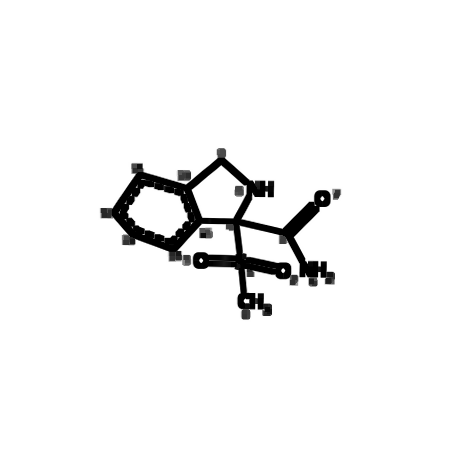 CS(=O)(=O)C1(C(N)=O)NCc2ccccc21